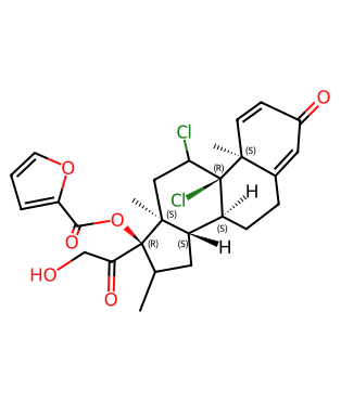 CC1C[C@H]2[C@@H]3CCC4=CC(=O)C=C[C@]4(C)[C@@]3(Cl)C(Cl)C[C@]2(C)[C@@]1(OC(=O)c1ccco1)C(=O)CO